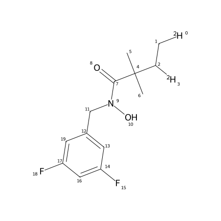 [2H]CC([2H])C(C)(C)C(=O)N(O)Cc1cc(F)cc(F)c1